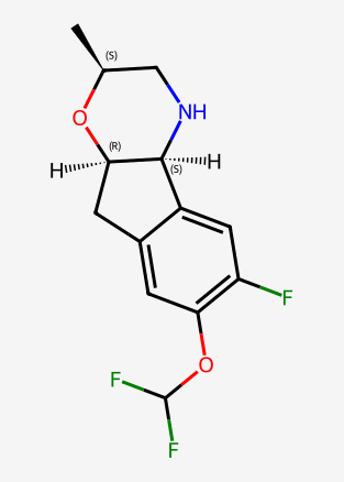 C[C@H]1CN[C@H]2c3cc(F)c(OC(F)F)cc3C[C@H]2O1